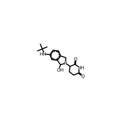 CC(C)(C)Nc1ccc2c(c1)C(O)N(C1CCC(=O)NC1=O)C2